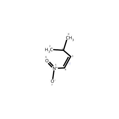 CC(C)/C=C\[N+](=O)[O-]